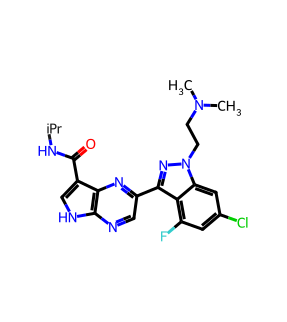 CC(C)NC(=O)c1c[nH]c2ncc(-c3nn(CCN(C)C)c4cc(Cl)cc(F)c34)nc12